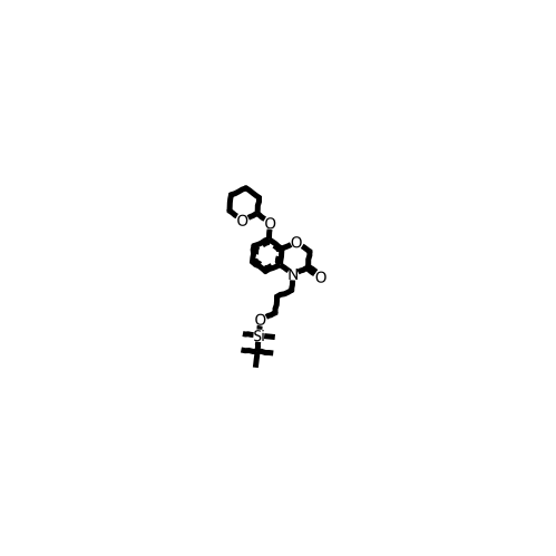 CC(C)(C)[Si](C)(C)OCCCN1C(=O)COc2c(OC3CCCCO3)cccc21